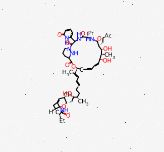 CC[C@H]1C[C@@H]2CC3=C[C@@H](C)[C@H](C[C@H](O)[C@@H](C)CC/C=C/C=C(\C)[C@@H]4C/C=C/C=C/[C@H](O)[C@H](C)[C@@H](O)[C@@H](CCC(C)=O)C(=O)N[C@@H](C(C)C)C(=O)NC(c5cccc(=O)[nH]5)C(=O)N5CCCC(N5)C(=O)O4)O[C@@]32NC1=O